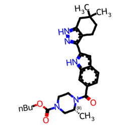 CCCCOC(=O)N1CCN(C(=O)c2ccc3cc(-c4n[nH]c5c4CCC(C)(C)C5)[nH]c3c2)[C@H](C)C1